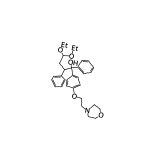 CCOC(CC(c1ccccc1)C(O)(c1ccccc1)c1ccc(OCCN2CCOCC2)cc1)OCC